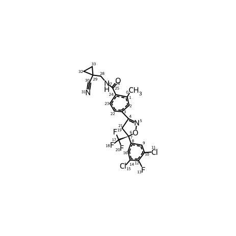 Cc1cc(C2=NO[C@@](c3cc(Cl)c(F)c(Cl)c3)(C(F)(F)F)C2)ccc1C(=O)NCC1(C#N)CC1